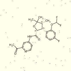 CC(=O)c1cc(NC(=O)[C@@H]2OC(C)(C)[C@H](C)[C@@H]2c2ccc(F)cc2OC(F)F)ccn1